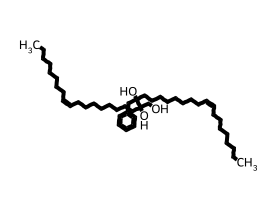 CCCCCCCC/C=C\CCCCCCCCC(O)(CO)C(O)(CCCCCCCC/C=C\CCCCCCCC)Cc1ccccc1